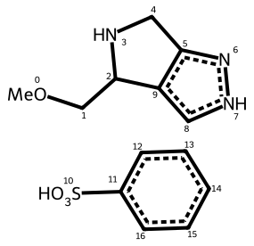 COCC1NCc2n[nH]cc21.O=S(=O)(O)c1ccccc1